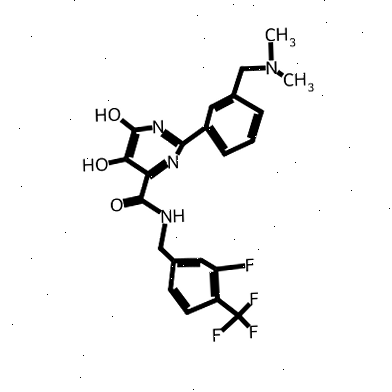 CN(C)Cc1cccc(-c2nc(O)c(O)c(C(=O)NCc3ccc(C(F)(F)F)c(F)c3)n2)c1